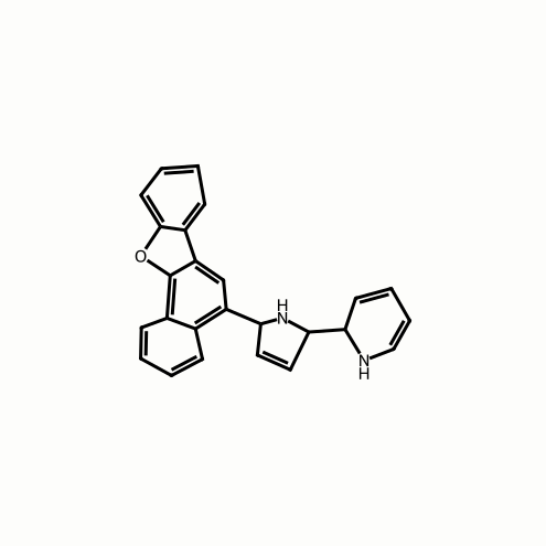 C1=CNC(C2C=CC(c3cc4c5ccccc5oc4c4ccccc34)N2)C=C1